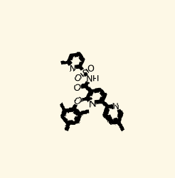 Cc1ccc(-c2ccc(C(=O)NS(=O)(=O)c3cccc(C)n3)c(Oc3c(C)cc(C)cc3C)n2)nc1